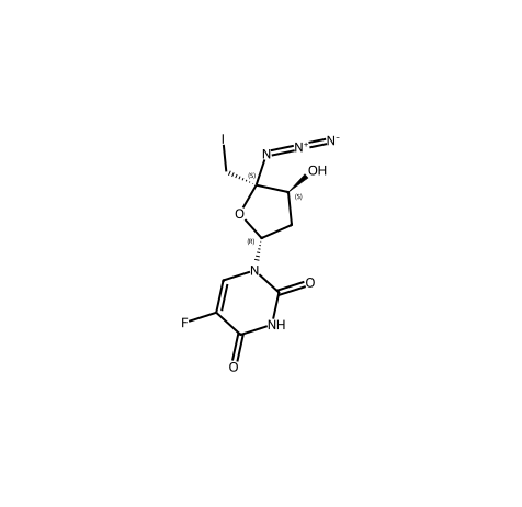 [N-]=[N+]=N[C@]1(CI)O[C@@H](n2cc(F)c(=O)[nH]c2=O)C[C@@H]1O